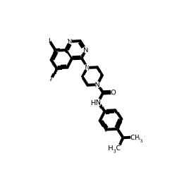 CC(C)c1ccc(NC(=O)N2CCN(c3ncnc4c(I)cc(I)cc34)CC2)cc1